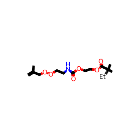 C=C(C)COOCCNC(=O)OCCOC(=O)C(C)(C)CC